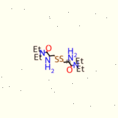 CCN(CC)C(=O)C(N)CSSC[C@H](N)C(=O)N(CC)CC